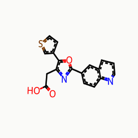 O=C(O)Cc1nc(-c2ccc3ncccc3c2)oc1-c1ccsc1